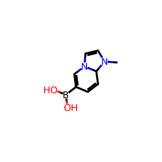 CN1C=CN2C=C(B(O)O)C=CC12